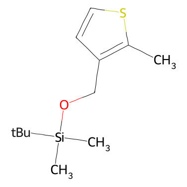 Cc1sccc1CO[Si](C)(C)C(C)(C)C